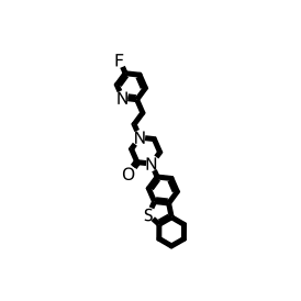 O=C1CN(CCc2ccc(F)cn2)CCN1c1ccc2c3c(sc2c1)CCCC3